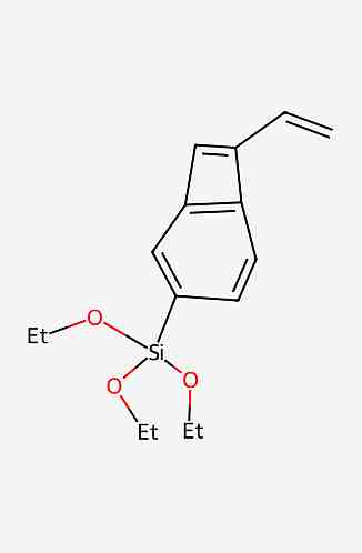 C=CC1=Cc2cc([Si](OCC)(OCC)OCC)ccc21